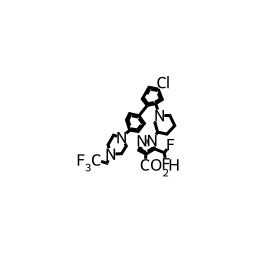 O=C(O)c1cnn(C2CCCN(c3cc(Cl)ccc3-c3ccc(N4CCN(CC(F)(F)F)CC4)cc3)C2)c1C(F)F